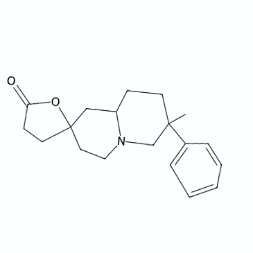 CC1(c2ccccc2)CCC2CC3(CCC(=O)O3)CCN2C1